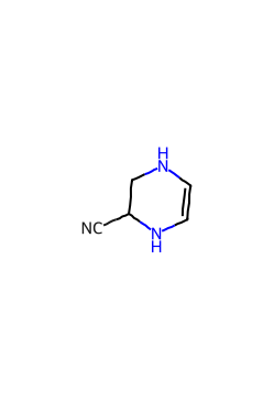 N#CC1CNC=CN1